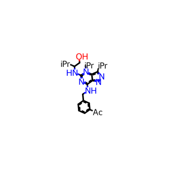 CC(=O)c1cccc(CNc2nc(NC(CO)C(C)C)n(C(C)C)c3c(C(C)C)nnc2-3)c1